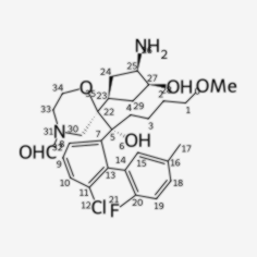 COCCCC[C@@](O)(c1cccc(Cl)c1-c1cc(C)ccc1F)[C@@]1([C@H]2C[C@@H](N)[C@@H](O)C2)CN(C=O)CCO1